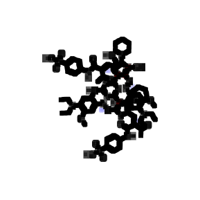 CCN(CC)c1cc(Nc2nc(Nc3cc(N(CC)CC)c(OC)cc3/N=N/c3nc(N4CCCCC4)c(/C=C(\C(C)=O)C(=O)Nc4ccc(S(=O)(=O)O)cc4)s3)nc(N(CCO)CCO)n2)c(/N=N/c2nc(N3CCCCC3)c(/C=C(/C(C)=O)C(=O)Nc3ccc(S(=O)(=O)O)cc3)s2)cc1OC